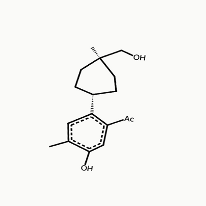 CC(=O)c1cc(O)c(C)cc1[C@H]1CC[C@](C)(CO)CC1